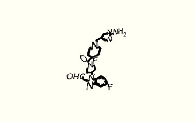 Nc1ncc(CN2CCC(F)(C(=O)N3CCC(n4c(CC=O)nc5cc(F)ccc54)CC3)CC2)cn1